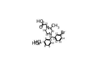 CC1CN([C@@H](c2ccccc2)c2cccc(Br)c2)CCN1CC(=O)O.Cl.Cl